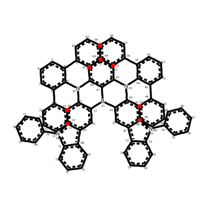 c1ccc(-c2cccc(-c3ccccc3)c2N2c3cc4c(cc3B3c5cc6c7ccccc7n(-c7ccccc7)c6cc5N(c5c(-c6ccccc6)cccc5-c5ccccc5)c5cccc2c53)c2ccccc2n4-c2ccccc2)cc1